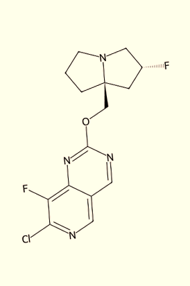 Fc1c(Cl)ncc2cnc(OC[C@@]34CCCN3C[C@H](F)C4)nc12